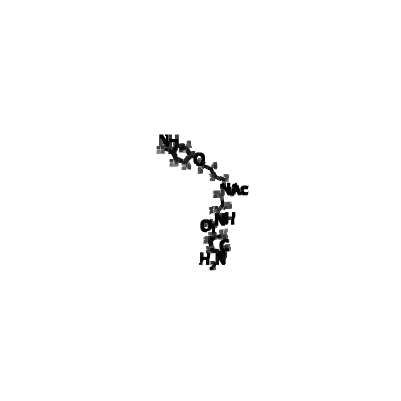 CC(=O)N(CCCCOc1ccc(CN)cc1)CCCNC(=O)c1ccc(N)cc1